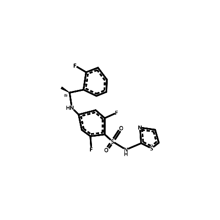 C[C@H](Nc1cc(F)c(S(=O)(=O)Nc2nccs2)c(F)c1)c1ccccc1F